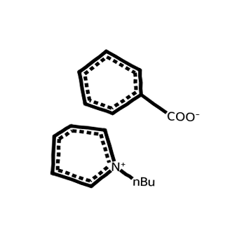 CCCC[n+]1ccccc1.O=C([O-])c1ccccc1